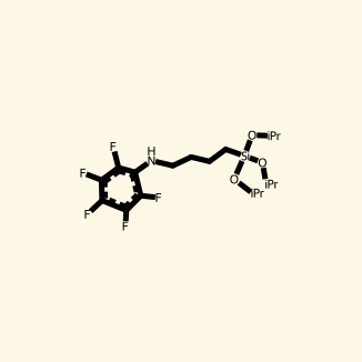 CC(C)O[Si](CCCCNc1c(F)c(F)c(F)c(F)c1F)(OC(C)C)OC(C)C